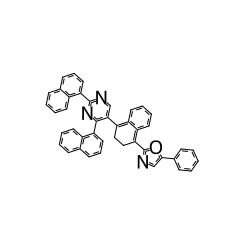 c1ccc(-c2cnc(C3=c4ccccc4=C(c4cnc(-c5cccc6ccccc56)nc4-c4cccc5ccccc45)CC3)o2)cc1